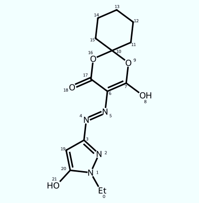 CCn1nc(N=NC2=C(O)OC3(CCCCC3)OC2=O)cc1O